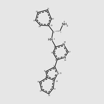 NC[C@H](Nc1cc(-c2cc3ccccc3s2)ncn1)c1ccccc1